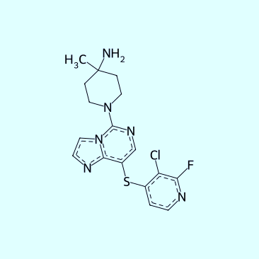 CC1(N)CCN(c2ncc(Sc3ccnc(F)c3Cl)c3nccn23)CC1